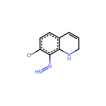 N=Nc1c(Cl)ccc2c1NCC=C2